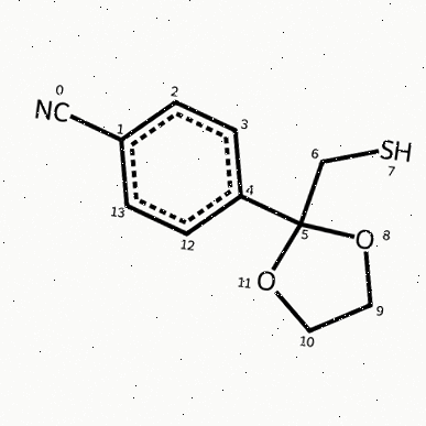 N#Cc1ccc(C2(CS)OCCO2)cc1